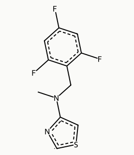 CN(Cc1c(F)cc(F)cc1F)c1cs[c]n1